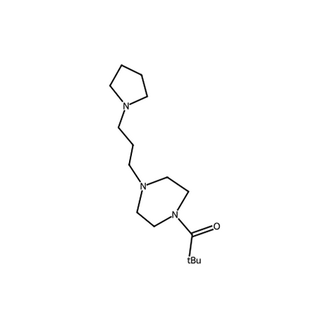 CC(C)(C)C(=O)N1CCN(CCCN2CCCC2)CC1